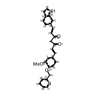 COc1cc(C=CC(=O)CC(=O)C=Cc2ccc3cc[nH]c3c2)ccc1OCc1ccccn1